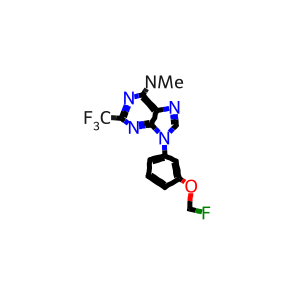 CNc1nc(C(F)(F)F)nc2c1ncn2-c1cccc(OCF)c1